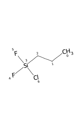 CCC[Si](F)(F)Cl